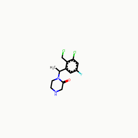 CC(c1cc(F)cc(Cl)c1CCl)N1CCNCC1=O